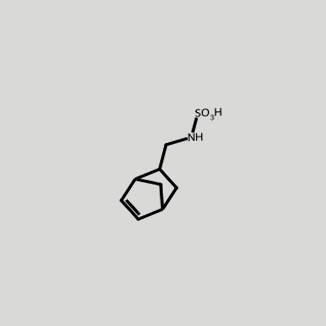 O=S(=O)(O)NCC1CC2C=CC1C2